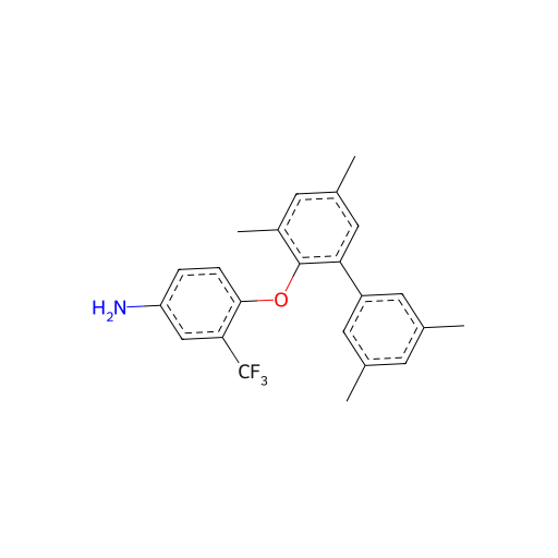 Cc1cc(C)cc(-c2cc(C)cc(C)c2Oc2ccc(N)cc2C(F)(F)F)c1